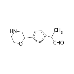 CC(C=O)c1ccc(C2CNCCO2)cc1